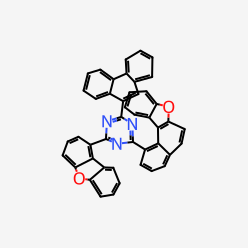 c1ccc2c(c1)cc(-c1nc(-c3cccc4oc5ccccc5c34)nc(-c3cccc4ccc5oc6ccccc6c5c34)n1)c1ccccc12